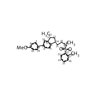 COc1ccc(-c2ccc3c(c2)[C@H](C)C[C@H]3CCN(C)S(=O)(=O)c2ccccc2C)cc1